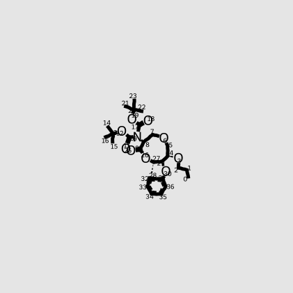 CCCO[C@H]1COC[C@H](N(C(=O)OC(C)(C)C)C(=O)OC(C)(C)C)C(=O)O[C@@H](C)[C@@H]1Oc1ccccc1